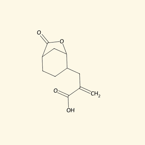 C=C(CC1CCC2CC1OC2=O)C(=O)O